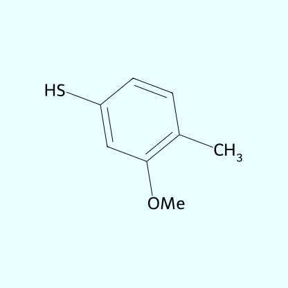 COc1cc(S)ccc1C